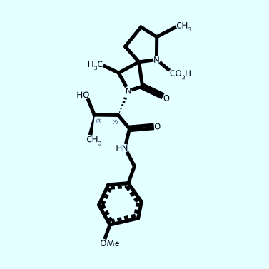 COc1ccc(CNC(=O)[C@H]([C@@H](C)O)N2C(=O)C3(CCC(C)N3C(=O)O)C2C)cc1